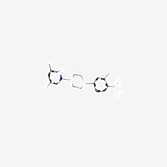 Cc1cc(C)nc(N2CCN(c3ccc([N+](=O)[O-])c(C)c3)CC2)c1